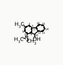 Cc1cc2c(c(N(C)C)c1)C(O)c1ccccc1-2